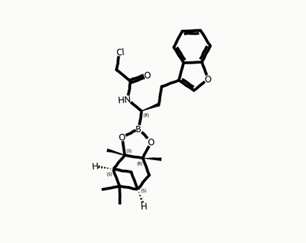 CC1(C)[C@H]2C[C@@H]1[C@]1(C)OB([C@H](CCc3coc4ccccc34)NC(=O)CCl)O[C@]1(C)C2